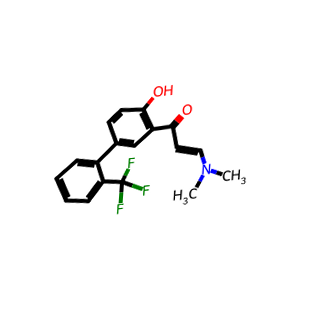 CN(C)C=CC(=O)c1cc(-c2ccccc2C(F)(F)F)ccc1O